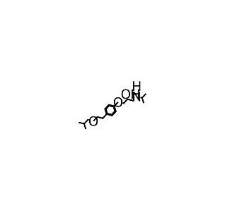 CC(C)COCCc1ccc(OCC(O)CNC(C)C)cc1